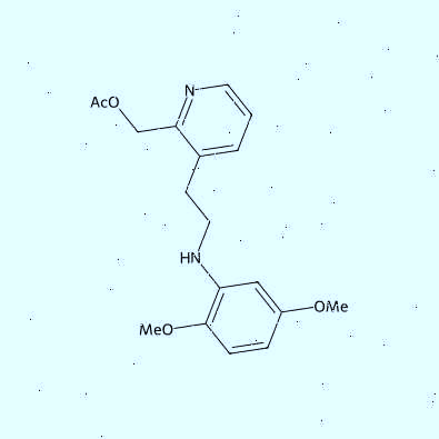 COc1ccc(OC)c(NCCc2cccnc2COC(C)=O)c1